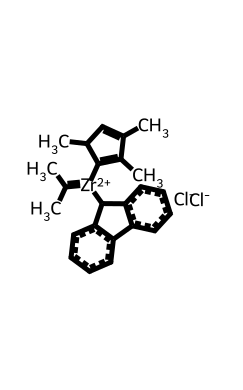 CC1=CC(C)[C]([Zr+2](=[C](C)C)[CH]2c3ccccc3-c3ccccc32)=C1C.[Cl-].[Cl-]